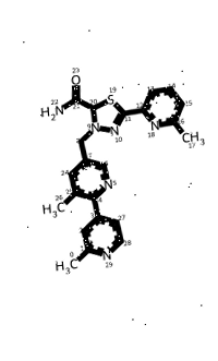 Cc1cc(-c2ncc(CN3N=C(c4cccc(C)n4)SC3C(N)=O)cc2C)ccn1